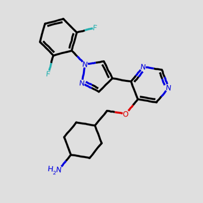 NC1CCC(COc2cncnc2-c2cnn(-c3c(F)cccc3F)c2)CC1